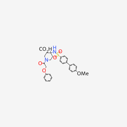 COc1ccc(-c2ccc(S(=O)(=O)NC3(C(=O)O)CCN(C(=O)COc4ccccc4)CC3)cc2)cc1